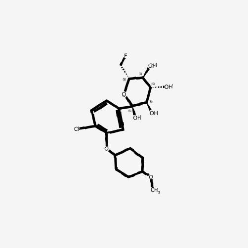 COC1CCC(Oc2cc([C@]3(O)O[C@H](CF)[C@@H](O)[C@H](O)[C@H]3O)ccc2Cl)CC1